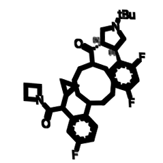 CC(C)(C)N1C[C@@H](C(=O)C2CCCCC(c3ccc(F)cc3C(C(=O)N3CCC3)C3CC3)CCC2)[C@H](c2ccc(F)cc2F)C1